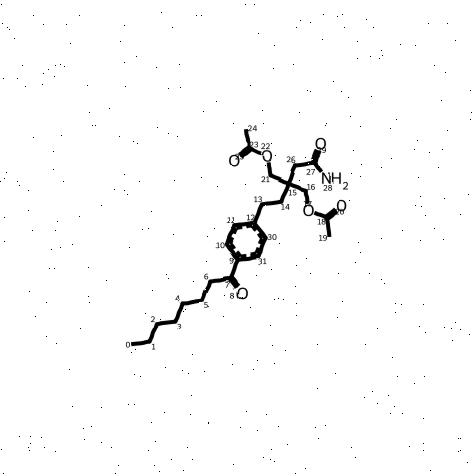 CCCCCCCC(=O)c1ccc(CCC(COC(C)=O)(COC(C)=O)CC(N)=O)cc1